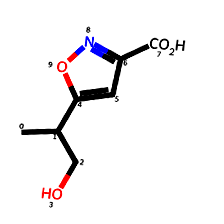 CC(CO)c1cc(C(=O)O)no1